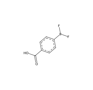 O=C(O)c1ccc(B(F)F)cc1